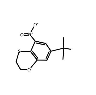 CC(C)(C)c1cc2c(c([N+](=O)[O-])c1)SCCO2